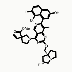 C=CC1(C(=O)OC)CCN(c2nc(OC[C@@]34CCCN3C[C@H](F)C4)nc3c(F)c(-c4cc(O)cc5ccc(F)c(CC)c45)ncc23)C1